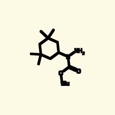 CC1(C)CC(N(N)C(=O)OC(C)(C)C)CC(C)(C)C1